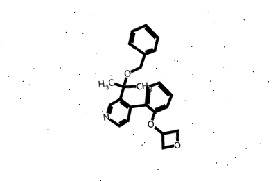 CC(C)(OCc1ccccc1)c1cnccc1-c1ccccc1OC1COC1